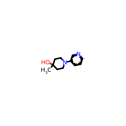 CC1(O)CCN(c2cc[c]nc2)CC1